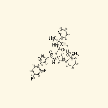 CC(C)(NC(=O)CC1(NC(=O)c2cc(-c3ccc(F)cc3F)on2)CN(C2CCCCC2(C)C)C1)c1ccccn1